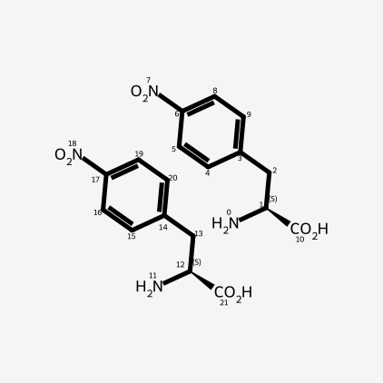 N[C@@H](Cc1ccc([N+](=O)[O-])cc1)C(=O)O.N[C@@H](Cc1ccc([N+](=O)[O-])cc1)C(=O)O